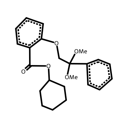 COC(COc1ccccc1C(=O)OC1CCCCC1)(OC)c1ccccc1